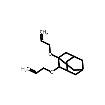 C=CCOC1C2CC3CC(C2)CC1(OCC=C)C3